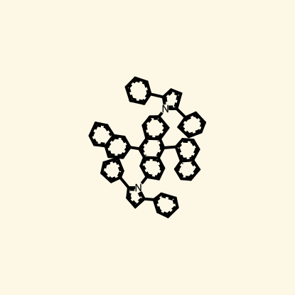 c1ccc(-c2ccc(-c3ccccc3)n2-c2ccc3c(-c4cccc5ccccc45)c4cc(-n5c(-c6ccccc6)ccc5-c5ccccc5)ccc4c(-c4ccc5ccccc5c4)c3c2)cc1